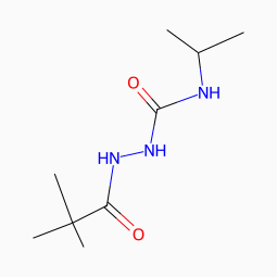 CC(C)NC(=O)NNC(=O)C(C)(C)C